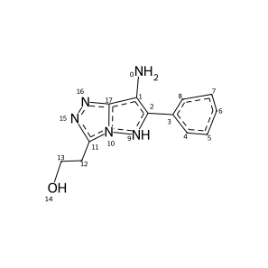 Nc1c(-c2ccccc2)[nH]n2c(CCO)nnc12